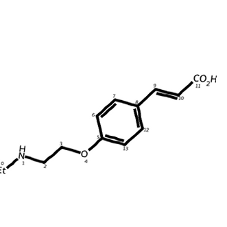 CCNCCOc1ccc(C=CC(=O)O)cc1